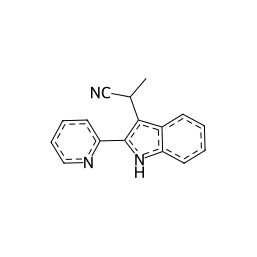 CC(C#N)c1c(-c2ccccn2)[nH]c2ccccc12